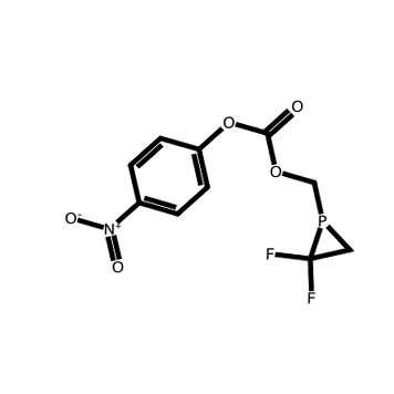 O=C(OCP1CC1(F)F)Oc1ccc([N+](=O)[O-])cc1